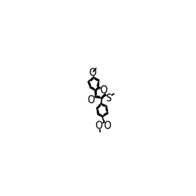 COC(=O)c1ccc(-c2c(SC)oc3cc(OC)ccc3c2=O)cc1